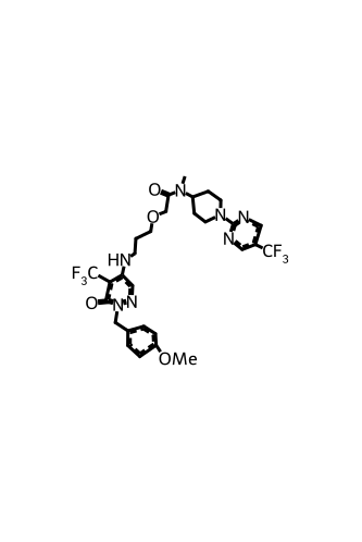 COc1ccc(Cn2ncc(NCCCOCC(=O)N(C)C3CCN(c4ncc(C(F)(F)F)cn4)CC3)c(C(F)(F)F)c2=O)cc1